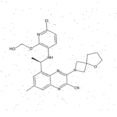 Cc1cc([C@@H](C)Nc2ccc(Cl)nc2OCO)c2nc(N3CC4(CCCO4)C3)c(C#N)nc2c1